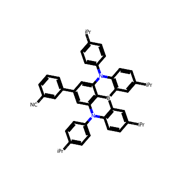 CC(C)c1ccc(N2c3ccc(C(C)C)cc3B3c4cc(C(C)C)ccc4N(c4ccc(C(C)C)cc4)c4cc(-c5cccc(C#N)c5)cc2c43)cc1